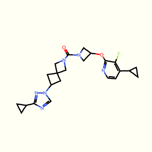 O=C(N1CC(Oc2nccc(C3CC3)c2F)C1)N1CC2(CC(n3cnc(C4CC4)n3)C2)C1